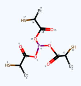 CCC(S)C(=O)OP(OC(=O)C(S)CC)OC(=O)C(S)CC